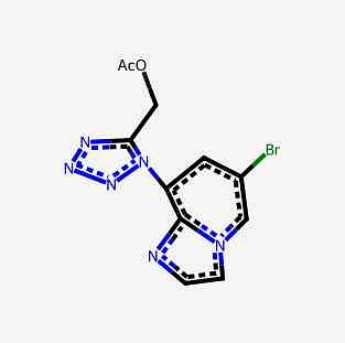 CC(=O)OCc1nnnn1-c1cc(Br)cn2ccnc12